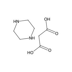 C1CNCCN1.O=C(O)CC(=O)O